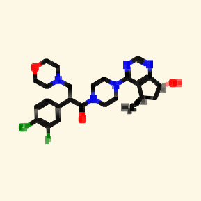 C[C@@H]1C[C@@H](O)c2ncnc(N3CCN(C(=O)C(CN4CCOCC4)c4ccc(Cl)c(F)c4)CC3)c21